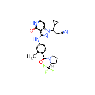 Cc1cc(Nc2nn(C(CC#N)C3CC3)c3cc[nH]c(=O)c23)ccc1C(=O)N1CCC[C@H]1C(F)(F)F